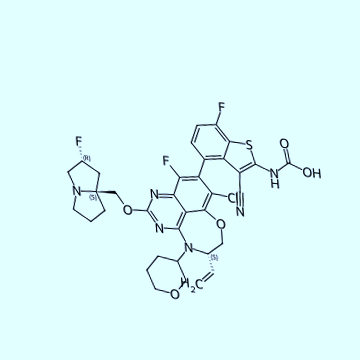 C=C[C@H]1COc2c(Cl)c(-c3ccc(F)c4sc(NC(=O)O)c(C#N)c34)c(F)c3nc(OC[C@@]45CCCN4C[C@H](F)C5)nc(c23)N1C1CCCOC1